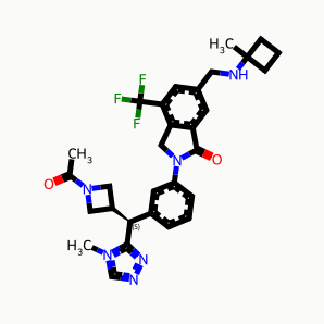 CC(=O)N1CC([C@@H](c2cccc(N3Cc4c(cc(CNC5(C)CCC5)cc4C(F)(F)F)C3=O)c2)c2nncn2C)C1